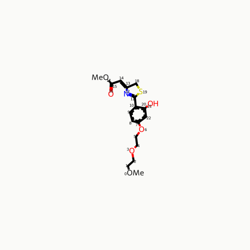 COCCOCCOc1ccc(C2=N/C(=C\C(=O)OC)CS2)c(O)c1